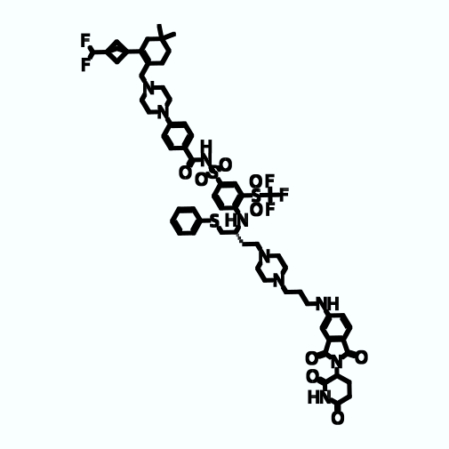 CC1(C)CCC(CN2CCN(c3ccc(C(=O)NS(=O)(=O)c4ccc(N[C@H](CCN5CCN(CCCNc6ccc7c(c6)C(=O)N(C6CCC(=O)NC6=O)C7=O)CC5)CSc5ccccc5)c(S(=O)(=O)C(F)(F)F)c4)cc3)CC2)=C(C23CC(C(F)F)(C2)C3)C1